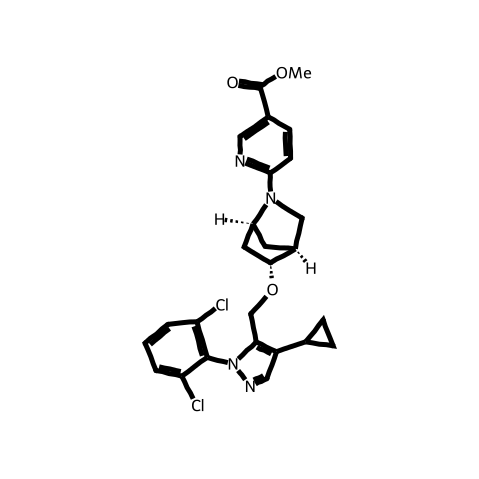 COC(=O)c1ccc(N2C[C@@H]3C[C@H]2C[C@H]3OCc2c(C3CC3)cnn2-c2c(Cl)cccc2Cl)nc1